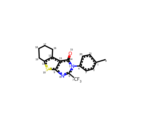 Cc1ccc(-n2c(C(F)(F)F)nc3sc4c(c3c2=O)CCCC4)cc1